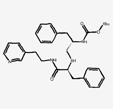 CC(C)(C)OC(=O)N[C@H](CN[C@@H](Cc1ccccc1)C(=O)NCCc1cccnc1)Cc1ccccc1